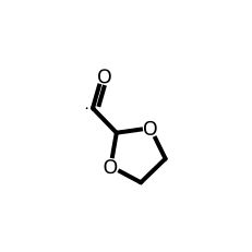 O=[C]C1OCCO1